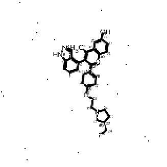 CC1=C(c2cccc3[nH]ncc23)C(c2ccc(OCCN3CC[C@@H](CF)C3)cc2)Oc2ccc(O)cc21